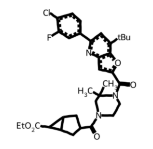 CCOC(=O)C1C2CC(C(=O)N3CCN(C(=O)c4cc5nc(-c6ccc(Cl)c(F)c6)cc(C(C)(C)C)c5o4)C(C)(C)C3)CC21